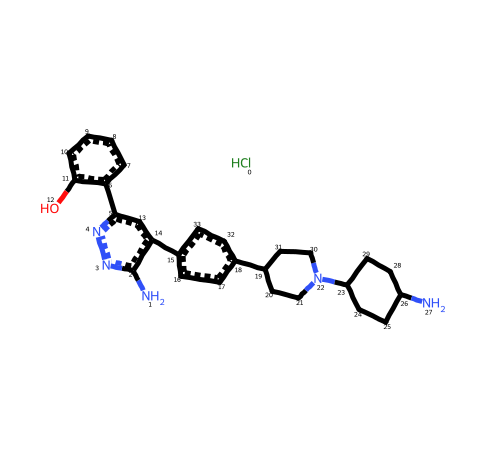 Cl.Nc1nnc(-c2ccccc2O)cc1-c1ccc(C2CCN(C3CCC(N)CC3)CC2)cc1